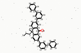 CCCC1(C)c2ccc(-c3cccc(-c4ccccc4)c3)cc2C(=O)c2cc(-c3cccc(-c4ccccc4)c3)ccc21